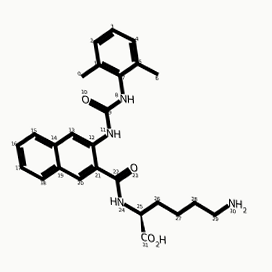 Cc1cccc(C)c1NC(=O)Nc1cc2ccccc2cc1C(=O)N[C@@H](CCCCN)C(=O)O